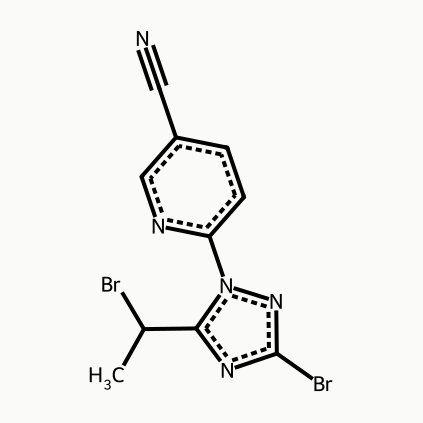 CC(Br)c1nc(Br)nn1-c1ccc(C#N)cn1